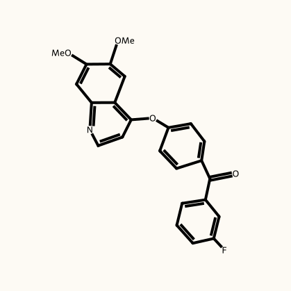 COc1cc2nccc(Oc3ccc(C(=O)c4cccc(F)c4)cc3)c2cc1OC